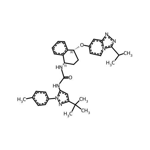 Cc1ccc(-n2nc(C(C)(C)C)cc2NC(=O)N[C@H]2CC[C@@H](Oc3ccn4c(C(C)C)nnc4c3)c3ccccc32)cc1